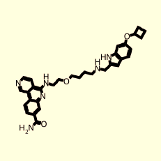 NC(=O)c1ccc2c(c1)nc(NCCOCCCCNCc1cc3ccc(OC4CCC4)cc3[nH]1)c1ccncc12